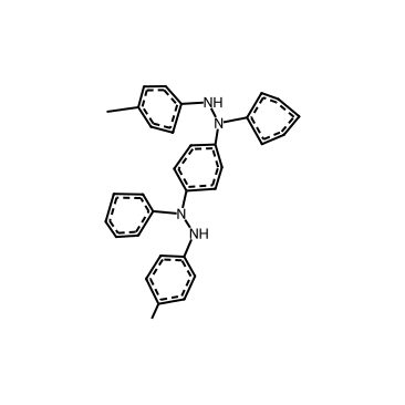 Cc1ccc(NN(c2ccccc2)c2ccc(N(Nc3ccc(C)cc3)c3ccccc3)cc2)cc1